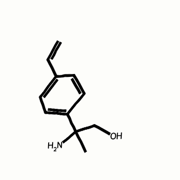 C=Cc1ccc(C(C)(N)CO)cc1